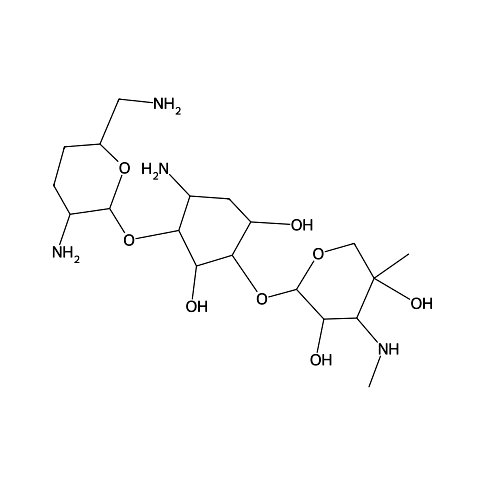 CNC1C(O)C(OC2C(O)CC(N)C(OC3OC(CN)CCC3N)C2O)OCC1(C)O